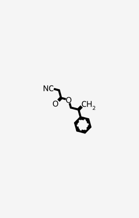 C=C(COC(=O)CC#N)c1ccccc1